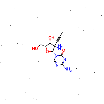 CC#CC1(N)[C@@H](O)[C@@H](CO)O[C@H]1n1cnc(N)nc1=O